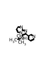 CC(C)(C)Nc1c(-c2cccnc2)nc2ncccn12